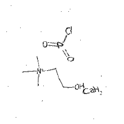 C[N+](C)(C)CCO.O=P(=O)Cl.[CaH2]